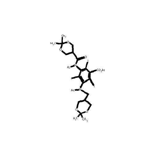 CC(=O)N(CC1COC(C)(C)OC1)c1c(I)c(C(=O)O)c(I)c(N(C(C)=O)C(=O)C2COC(C)(C)OC2)c1I